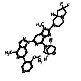 COc1ccncc1-c1cc2c(cnn2-c2cc3c(nc(N4CCN5CC(F)(F)C[C@H]5C4)n3C)c(N3C[C@H]4C[C@@H]3CO4)n2)c(C)n1